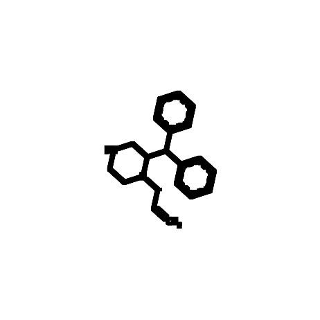 C=C[CH]N1CCNCC1C(c1ccccc1)c1ccccc1